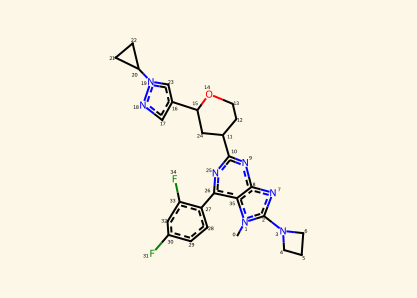 Cn1c(N2CCC2)nc2nc(C3CCOC(c4cnn(C5CC5)c4)C3)nc(-c3ccc(F)cc3F)c21